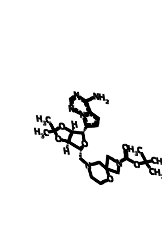 CC(C)(C)OC(=O)N1CC2(CN(C[C@H]3O[C@@H](c4ccc5c(N)ncnn45)[C@@H]4OC(C)(C)O[C@@H]43)CCO2)C1